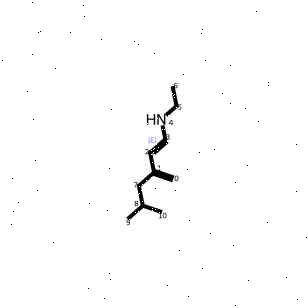 C=C(/C=C/NCC)CC(C)C